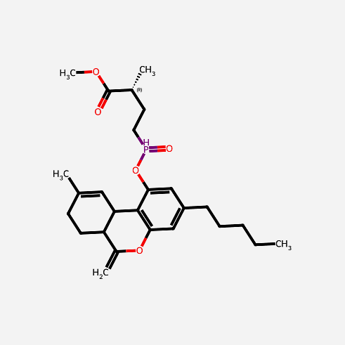 C=C1Oc2cc(CCCCC)cc(O[PH](=O)CC[C@@H](C)C(=O)OC)c2C2C=C(C)CCC12